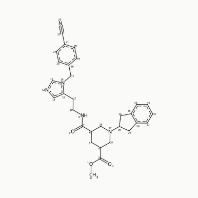 COC(=O)C1CC(C(=O)NCCc2cncn2Cc2ccc(C#N)cc2)CN(C2Cc3ccccc3C2)C1